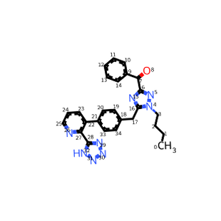 CCCCn1nc(C(=O)c2ccccc2)nc1Cc1ccc(-c2cccnc2-c2nnn[nH]2)cc1